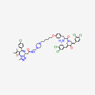 Cc1sc2c(c1C)C(c1ccc(Cl)cc1)=N[C@@H](CC(=O)NCCN1CCN(CCCCCCOc3ccc(C[C@H](N)C(=O)N4C/C(=C\c5ccc(Cl)c(Cl)c5)C(=O)/C(=C/c5ccc(Cl)c(Cl)c5)C4)cc3)CC1)c1nnc(C)n1-2